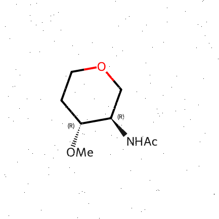 CO[C@@H]1CCOC[C@H]1NC(C)=O